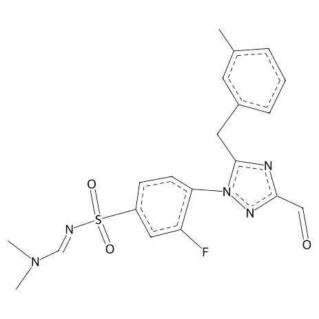 Cc1cccc(Cc2nc(C=O)nn2-c2ccc(S(=O)(=O)/N=C/N(C)C)cc2F)c1